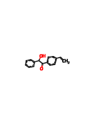 C=Cc1ccc(C(=O)C(O)c2ccccc2)cc1